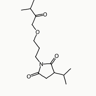 CC(C)C(=O)COCCCN1C(=O)CC(C(C)C)C1=O